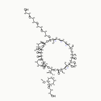 CO[C@@H]1C[C@H](C[C@@H](C)[C@@H]2CC(=O)[C@H](C)/C=C(\C)[C@@H](O)[C@@H](OC)C(=O)[C@H](C)C[C@H](C)/C=C/C=C/C=C(\C)[C@@H](OCCOCCOCCOCCO)C[C@@H]3CC[C@@H](C)[C@@](O)(O3)C(=O)C(=O)N3CCCC[C@H]3C(=O)O2)CC[C@H]1OCCO